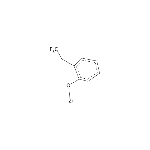 FC(F)(F)Cc1ccccc1[O][Zr]